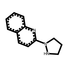 c1ccc2nc(N3CCCN3)ccc2c1